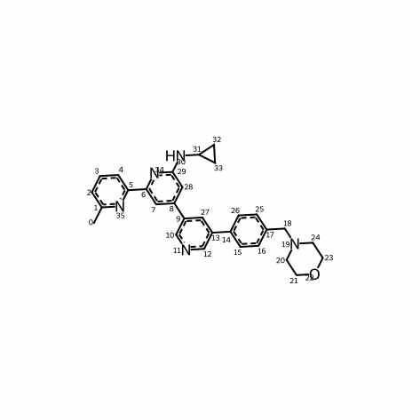 Cc1cccc(-c2cc(-c3cncc(-c4ccc(CN5CCOCC5)cc4)c3)cc(NC3CC3)n2)n1